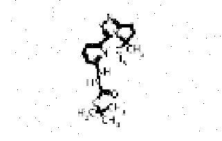 CC(C)(C)OC(=O)NNc1cccc(-c2nnc3n2C(C)(C)CC3)n1